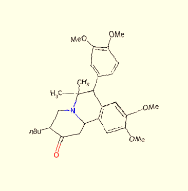 CCCCC1CN2C(CC1=O)c1cc(OC)c(OC)cc1C(c1ccc(OC)c(OC)c1)C2(C)C